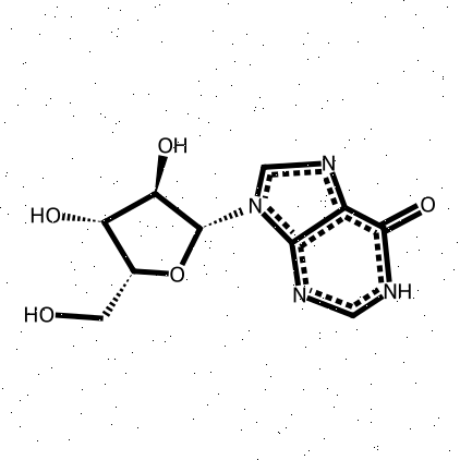 O=c1[nH]cnc2c1ncn2[C@@H]1O[C@H](CO)[C@H](O)[C@H]1O